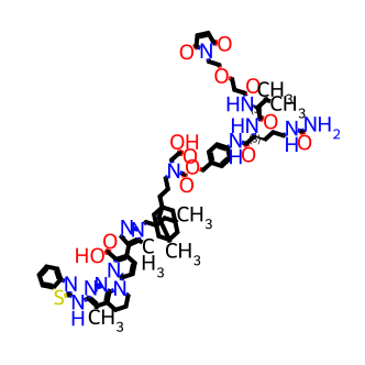 Cc1c(Nc2nc3ccccc3s2)nnc2c1CCCN2c1ccc(-c2cnn(CC34CC5(C)CC(C)(CC(CCCN(CC(=O)O)C(=O)OCc6ccc(NC(=O)[C@H](CCCNC(N)=O)NC(=O)[C@@H](NC(=O)CCOCCN7C(=O)C=CC7=O)C(C)C)cc6)(C5)C3)C4)c2C)c(C(=O)O)n1